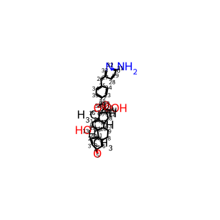 C[C@]12C=CC(=O)C=C1CCC1[C@@H]2[C@@H](O)C[C@@]2(C)[C@H]1C[C@H]1O[C@@H](c3ccc(Cc4ccc(N)nc4)cc3)O[C@]12C(=O)CO